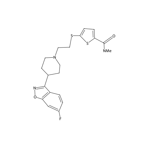 CNC(=O)c1ccc(SCCN2CCC(c3noc4cc(F)ccc34)CC2)s1